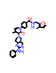 Cc1ccoc1CNC(=O)c1ccc(-n2ccc(C)c(N3CCc4nc(Nc5ccccc5)ncc4C3)c2=O)cc1